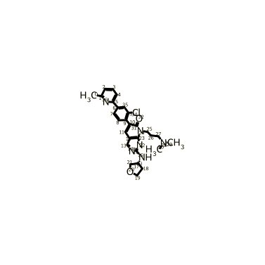 Cc1cccc(-c2ccc(-c3cc4cnc(N[C@H]5CCOC5)nc4n(CCCN(C)C)c3=O)c(Cl)c2)n1